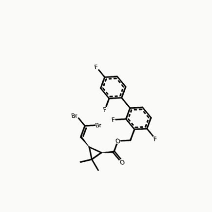 CC1(C)[C@H](C(=O)OCc2c(F)ccc(-c3ccc(F)cc3F)c2F)[C@@H]1C=C(Br)Br